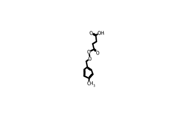 Cc1ccc(COOC(=O)CCC(=O)O)cc1